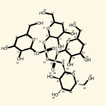 O=P(OC1OC(CO)CC(O)C1O)(OC1OC(CO)CC(O)C1O)OP(=O)(OC1OC(CO)CC(O)C1O)O[C@H]1O[C@H](CO)C[C@H](O)[C@H]1O